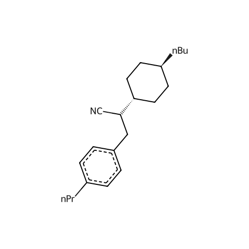 CCCC[C@H]1CC[C@H](C(C#N)Cc2ccc(CCC)cc2)CC1